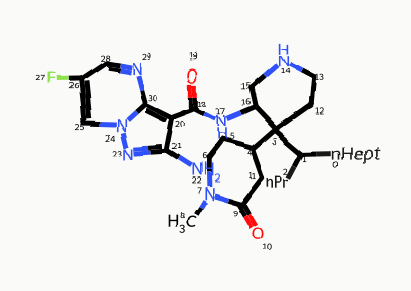 CCCCCCCC(CCC)C1(C2CCN(C)C(=O)C2)CCNCC1NC(=O)c1c(N)nn2cc(F)cnc12